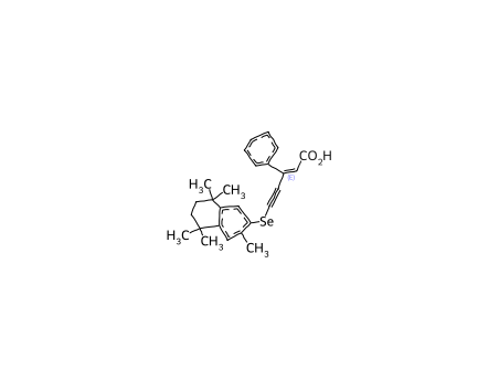 Cc1cc2c(cc1[Se]C#C/C(=C/C(=O)O)c1ccccc1)C(C)(C)CCC2(C)C